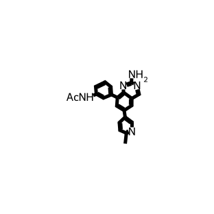 CC(=O)Nc1cccc(-c2cc(-c3ccc(C)nc3)cc3cnc(N)nc23)c1